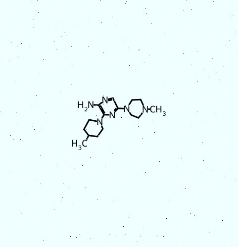 CC1CCN(c2nc(N3CCN(C)CC3)cnc2N)CC1